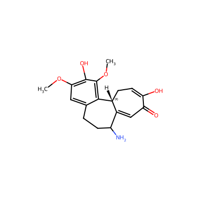 COc1cc2c(c(OC)c1O)[C@@H]1CC=C(O)C(=O)C=C1C(N)CC2